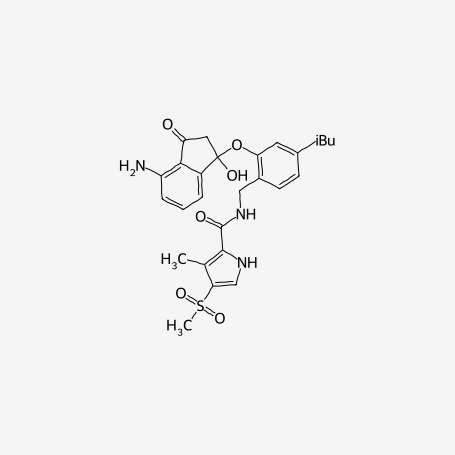 CCC(C)c1ccc(CNC(=O)c2[nH]cc(S(C)(=O)=O)c2C)c(OC2(O)CC(=O)c3c(N)cccc32)c1